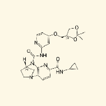 CC1(C)OC[C@H](COc2ccnc(NC(=O)N3c4nc(C(=O)NC5CC5)ccc4N4CC[C@H]3C4)c2)O1